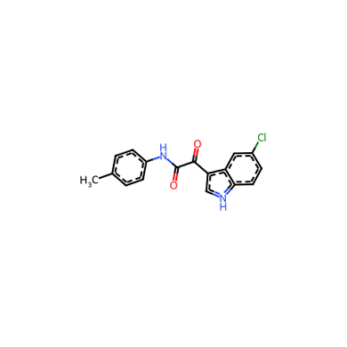 Cc1ccc(NC(=O)C(=O)c2c[nH]c3ccc(Cl)cc23)cc1